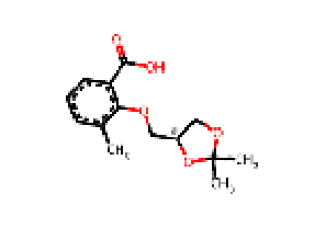 Cc1cccc(C(=O)O)c1OC[C@H]1COC(C)(C)O1